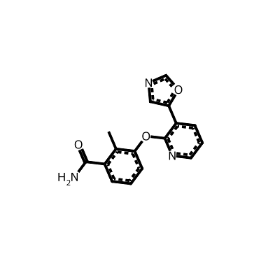 Cc1c(Oc2ncccc2-c2cnco2)cccc1C(N)=O